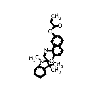 C=CC(=O)Oc1ccc2ccc3c(c2c1)N=CC1(O3)N(C)c2ccccc2C1(C)C